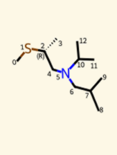 CS[C@H](C)CN(CC(C)C)C(C)C